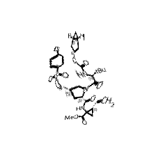 C=C[C@@H]1C[C@]1(NC(=O)[C@@H]1C[C@H](OS(=O)(=O)c2ccc(Br)cc2)CN1C(=O)[C@@H](NC(=O)O[C@H]1C[C@@H]2C[C@@H]2C1)C(C)(C)C)C(=O)OC